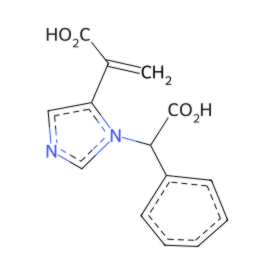 C=C(C(=O)O)c1cncn1C(C(=O)O)c1ccccc1